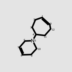 C1=CCCC(N2CC=CCC2)CC1